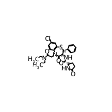 CCN(CC)C(=O)CN1C(=O)[C@@H](NC(=O)[C@@H]2CCC(=O)N2)[C@H](c2ccccc2)Sc2cc(Cl)ccc21